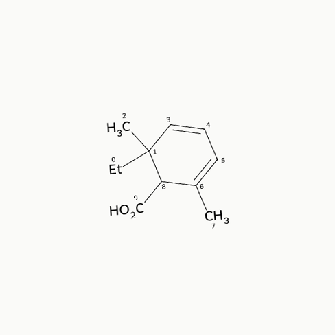 CCC1(C)C=CC=C(C)C1C(=O)O